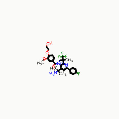 COc1cc(C(=O)NCC(C)(c2cc(C(C)(C)N)cc(-c3ccc(F)cc3)n2)C(F)(F)F)ccc1OCCO